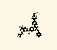 COc1ncc(-c2cnc(N(C(=O)NCc3ccccc3)[C@H]3CC[C@H](Nc4ncc(C(F)(F)F)c(OCC5COC5)n4)CC3)cn2)cn1